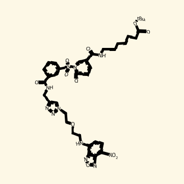 CC(C)(C)OC(=O)CCCCCCNC(=O)c1ccc(=O)n(S(=O)(=O)c2cccc(C(=O)NCc3cn(CCOCCNc4ccc([N+](=O)[O-])c5nonc45)nn3)c2)c1